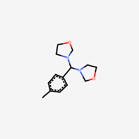 Cc1ccc(C(N2CCOC2)N2CCOC2)cc1